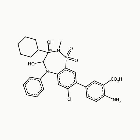 CN1[C@@](O)(C2CCCCC2)C(O)N(c2ccccc2)c2cc(Cl)c(-c3ccc(N)c(C(=O)O)c3)cc2S1(=O)=O